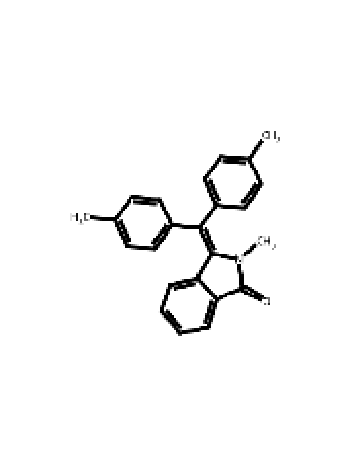 Cc1ccc(C(=C2c3ccccc3C(=O)N2C)c2ccc(C)cc2)cc1